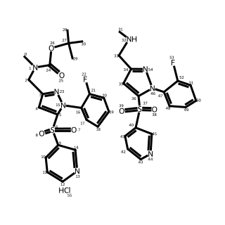 CN(Cc1cc(S(=O)(=O)c2cccnc2)n(-c2ccccc2F)n1)C(=O)OC(C)(C)C.CNCc1cc(S(=O)(=O)c2cccnc2)n(-c2ccccc2F)n1.Cl